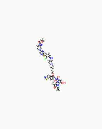 Cc1ncsc1-c1ccc(CNC(=O)[C@@H]2C[C@@H](O)CN2C(=O)[C@@H](NC(=O)C2(F)CC2)C(C)(C)C)c(OCCCCCCN2CCC(CNc3cccc(Sc4cnc(N5CCC(C)(CNC(=O)OC(C)(C)C)CC5)cn4)c3Cl)CC2)c1